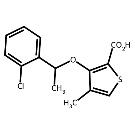 Cc1csc(C(=O)O)c1OC(C)c1ccccc1Cl